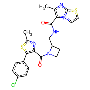 Cc1nc(C(=O)N2CCC2CNC(=O)c2c(C)nc3sccn23)c(-c2ccc(Cl)cc2)s1